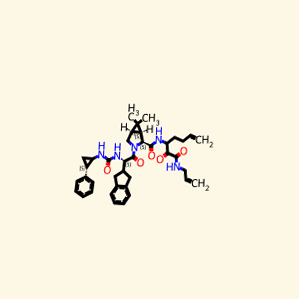 C=CCCC(NC(=O)[C@@H]1[C@H]2[C@@H](CN1C(=O)[C@@H](NC(=O)NC1C[C@H]1c1ccccc1)C1Cc3ccccc3C1)C2(C)C)C(=O)C(=O)NCC=C